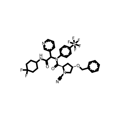 N#CN1C[C@@H](OCc2ccccc2)C[C@@H]1C(=O)N(c1ccc(S(F)(F)(F)(F)F)cc1)C(C(=O)NC1CCC(F)(F)CC1)c1cccnc1